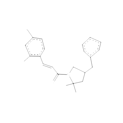 CC(C)C1(C(C)C)CC(Cc2ccccc2)CN1C(=O)/C=C/c1ccc(Cl)cc1F